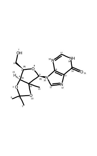 CC1(C)O[C@H]2[C@@H](CO)O[C@@H](n3cnc4c(=O)[nH]cnc43)C2(C)O1